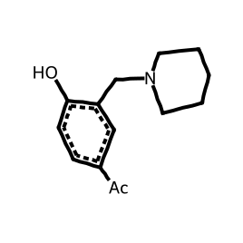 CC(=O)c1ccc(O)c(CN2CCCCC2)c1